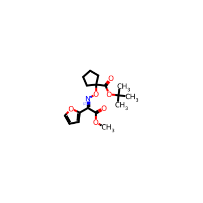 COC(=O)/C(=N\OC1(C(=O)OC(C)(C)C)CCCC1)c1ccco1